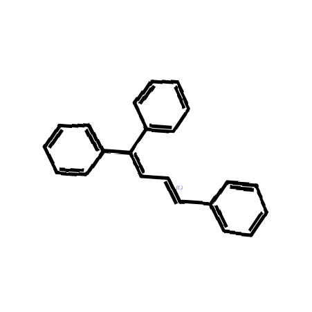 C(/C=C/c1ccccc1)=C(c1ccccc1)c1ccccc1